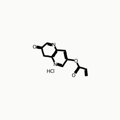 C=CC(=O)Oc1cnc2c(c1)N=CC(=O)C2.Cl